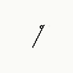 CCCCCCC/C=C/CCCCCCCc1cccc(C(=O)O)c1